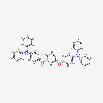 c1ccc(N(c2ccccc2)c2ccc(Oc3cccc(Oc4ccc(N(c5ccccc5)c5ccccc5)cc4)c3)cc2)cc1